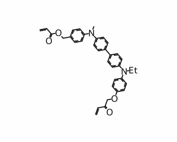 C=CC(=O)COc1ccc(N(CC)c2ccc(-c3ccc(N(C)c4ccc(COC(=O)C=C)cc4)cc3)cc2)cc1